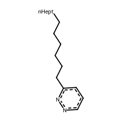 CCCCCCCCCCCCCc1cccnn1